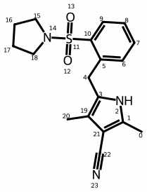 Cc1[nH]c(Cc2ccccc2S(=O)(=O)N2CCCC2)c(C)c1C#N